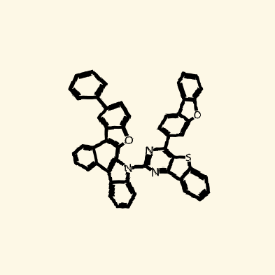 c1ccc(-c2ccc3oc4c(c3c2)c2ccccc2c2c3ccccc3n(-c3nc(-c5ccc6c(c5)oc5ccccc56)c5sc6ccccc6c5n3)c42)cc1